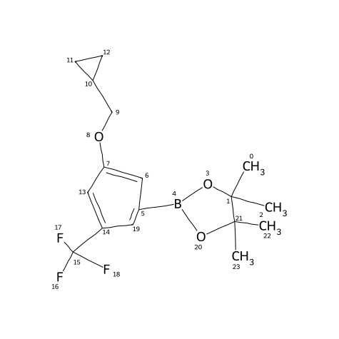 CC1(C)OB(c2cc(OCC3CC3)cc(C(F)(F)F)c2)OC1(C)C